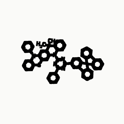 CC1(C)c2ccccc2N(c2nc(-c3ccccc3)nc(-c3ccc4c(c3)-c3ccccc3C43c4ccccc4-c4ccccc43)n2)c2cc3c(cc21)N(c1ccccc1)c1ccccc1S3